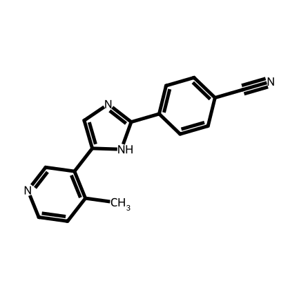 Cc1ccncc1-c1cnc(-c2ccc(C#N)cc2)[nH]1